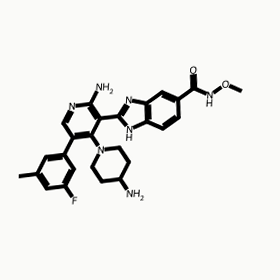 CONC(=O)c1ccc2[nH]c(-c3c(N)ncc(-c4cc(C)cc(F)c4)c3N3CCC(N)CC3)nc2c1